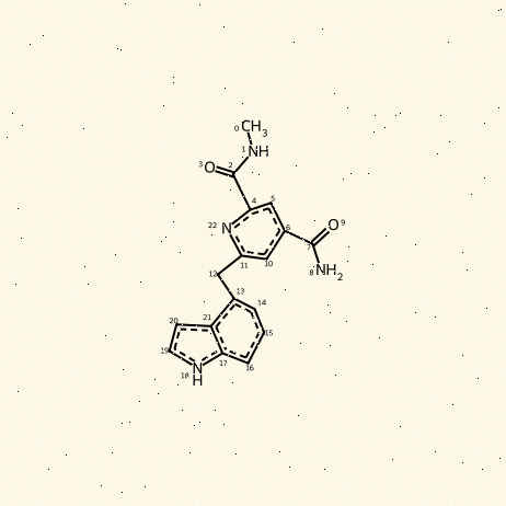 CNC(=O)c1cc(C(N)=O)cc(Cc2cccc3[nH]ccc23)n1